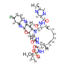 Cc1cnc(C(=O)N[C@H]2CCCCC/C=C\[C@@H]3C[C@@]3(C(=O)NS(=O)(=O)C3(C)CC3)NC(=O)[C@@H]3C[C@@H](Oc4nc5cc(F)ccc5nc4C)CN3C2=O)cn1